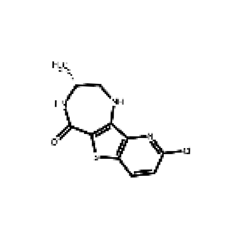 C[C@@H]1CNc2c(sc3ccc(Cl)nc23)C(=O)N1